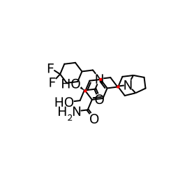 NC(=O)c1cccc(C2CC3CCC(C2)N3CCN(CC2CCC(F)(F)CC2)C(=O)[C@H](O)CO)c1